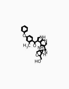 Cc1cc(Oc2ccccc2)ccc1C(=O)c1c[nH]c2ncc(C#N)c(N[C@@]34COC(CO)[C@@H]3C4)c12